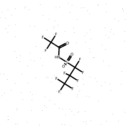 O=C(NS(=O)(=O)C(F)(F)C(F)(F)C(F)(F)F)C(F)(F)F